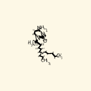 CCCCCN(CCC)CCCCC(C)n1ccc(N)nc1=O